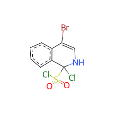 O=S(=O)(Cl)C1(Cl)NC=C(Br)c2ccccc21